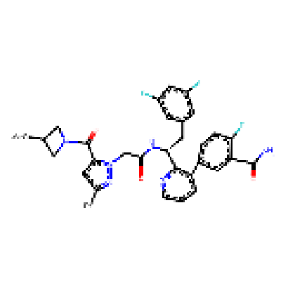 COC1CN(C(=O)c2cc(C(C)C)nn2CC(=O)N[C@@H](Cc2cc(F)cc(F)c2)c2ncccc2-c2ccc(F)c(C(N)=O)c2)C1